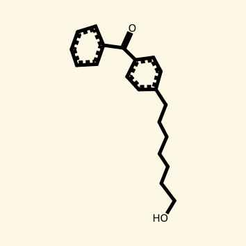 O=C(c1ccccc1)c1ccc(CCCCCCCO)cc1